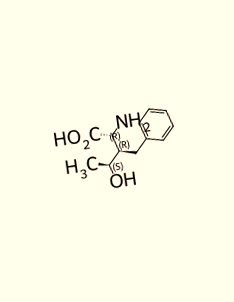 C[C@H](O)[C@H](Cc1ccccc1)[C@@H](N)C(=O)O